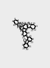 C1=CC2NC34c5cc6sc7ccccc7c6c6c7cc(-c8cccc9c8oc8ccccc89)ccc7n(c56)C3N4C2C=C1